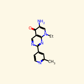 CCn1cc(N)c(=O)c2cnc(-c3ccnc(C)c3)nc21